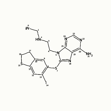 CC(C)CNCCn1c(Sc2cc3c(cc2I)SCC3)nc2c(N)ncnc21